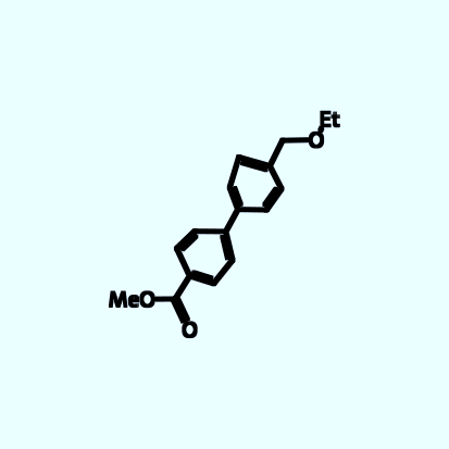 CCOCc1ccc(-c2ccc(C(=O)OC)cc2)cc1